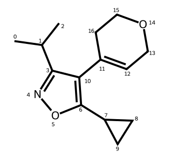 CC(C)c1noc(C2CC2)c1C1=CCOCC1